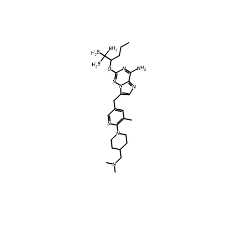 BC(B)(B)C(CCC)Oc1nc(N)c2ncc(Cc3cnc(N4CCC(CN(C)C)CC4)c(C)c3)n2n1